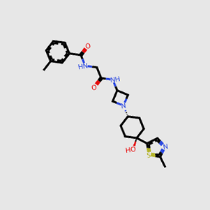 Cc1cccc(C(=O)NCC(=O)NC2CN([C@H]3CC[C@@](O)(c4cnc(C)s4)CC3)C2)c1